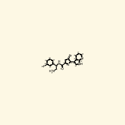 NCC(NC(=O)c1cc(Br)c(-c2c[nH]c3ncccc23)s1)c1cccc(F)c1